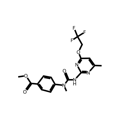 COC(=O)c1ccc(N(C)C(=O)Nc2nc(C)cc(OCC(F)(F)F)n2)cc1